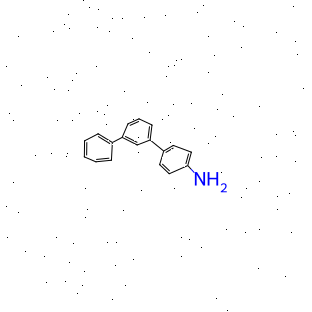 Nc1ccc(-c2cccc(-c3ccccc3)c2)cc1